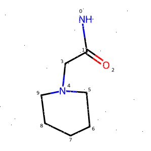 [NH]C(=O)[CH]N1CCCCC1